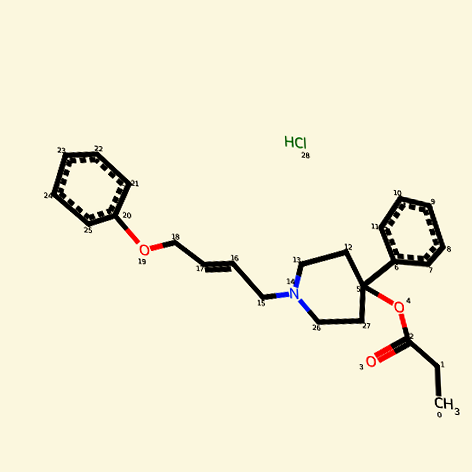 CCC(=O)OC1(c2ccccc2)CCN(C/C=C/COc2ccccc2)CC1.Cl